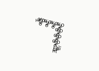 O=[Si]([O-])[O-].O=[Si]([O-])[O-].O=[Si]([O-])[O-].O=[Si]([O-])[O-].O=[Si]([O-])[O-].O=[Si]([O-])[O-].O=[Si]([O-])[O-].[Hf+4].[Hf+4].[La+3].[La+3]